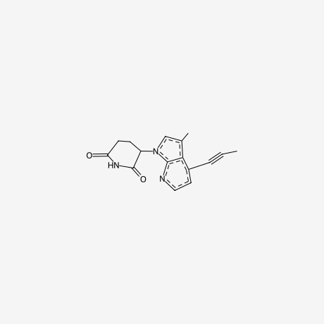 CC#Cc1ccnc2c1c(C)cn2C1CCC(=O)NC1=O